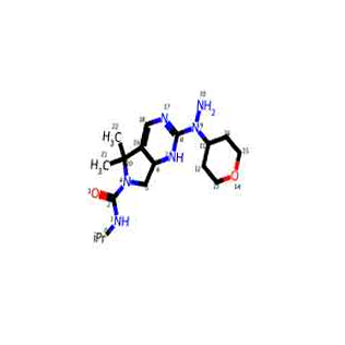 CC(C)NC(=O)N1CC2NC(N(N)C3CCOCC3)=NC=C2C1(C)C